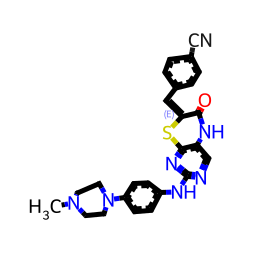 CN1CCN(c2ccc(Nc3ncc4c(n3)S/C(=C/c3ccc(C#N)cc3)C(=O)N4)cc2)CC1